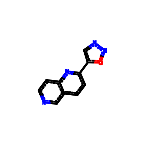 c1cc2nc(-c3cnno3)ccc2cn1